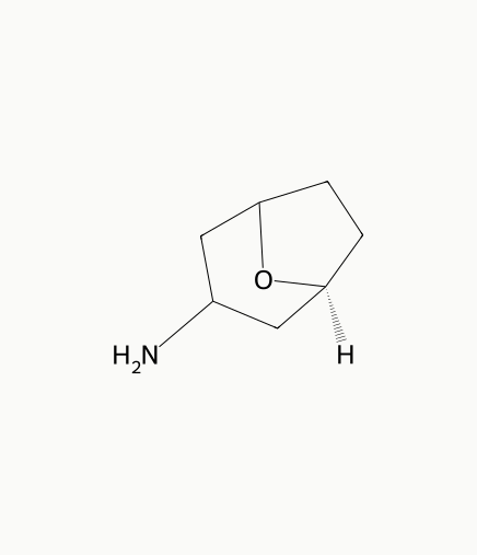 NC1CC2CC[C@@H](C1)O2